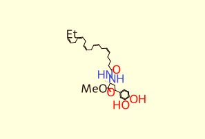 CC/C=C\C/C=C\C/C=C\C/C=C\C/C=C\CCCC(=O)NN[C@@](C)(CCc1ccc(O)c(O)c1)C(=O)OC